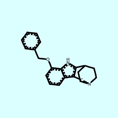 c1ccc(COc2cccc3c4c([nH]c23)C2CCN(CC2)C4)cc1